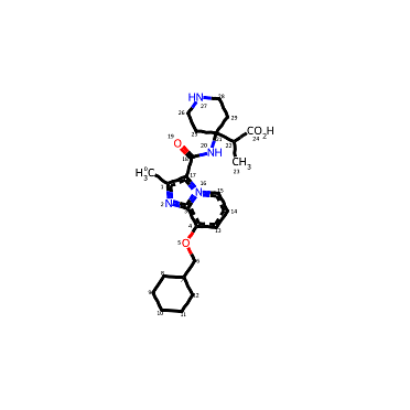 Cc1nc2c(OCC3CCCCC3)cccn2c1C(=O)NC1(C(C)C(=O)O)CCNCC1